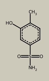 Cc1ccc(S(N)(=O)=O)cc1O